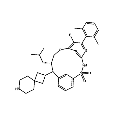 Cc1cccc(C)c1-c1nc2nc(c1F)OC[C@@H](CC(C)C)C(C1CC3(CCNCC3)C1)c1cccc(c1)S(=O)(=O)N2